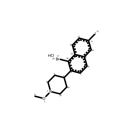 CON1CCC(c2ccc3cc(I)ccc3c2Br)CC1.Cl